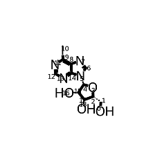 OC[C@H]1O[C@@H](n2cnc3c(I)ncnc32)[C@@H](O)[C@@H]1O